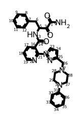 NC(=O)C(=O)C(Cc1ccccc1)NC(=O)c1cccnc1-n1ccc(CN2CCN(c3ccccc3)CC2)n1